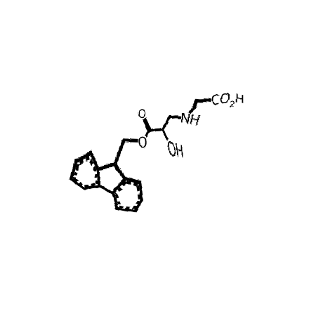 O=C(O)CNCC(O)C(=O)OCC1c2ccccc2-c2ccccc21